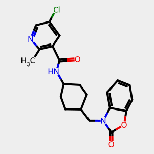 Cc1ncc(Cl)cc1C(=O)NC1CCC(Cn2c(=O)oc3ccccc32)CC1